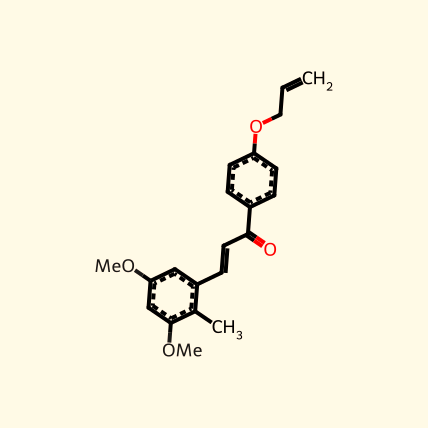 C=CCOc1ccc(C(=O)C=Cc2cc(OC)cc(OC)c2C)cc1